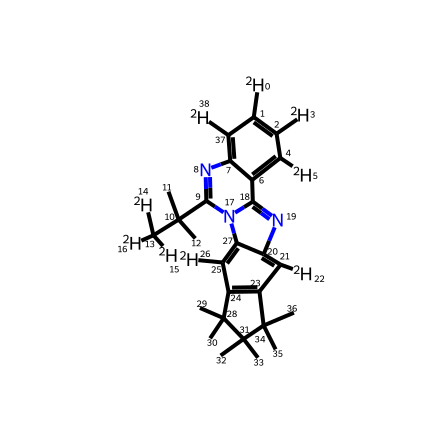 [2H]c1c([2H])c([2H])c2c(nc(C(C)(C)C([2H])([2H])[2H])n3c2nc2c([2H])c4c(c([2H])c23)C(C)(C)C(C)(C)C4(C)C)c1[2H]